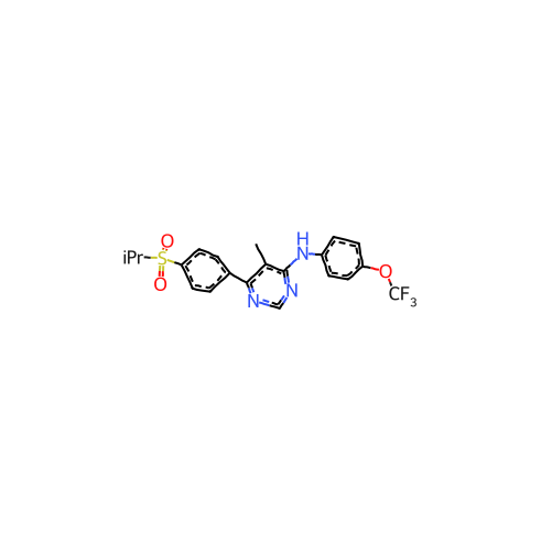 Cc1c(Nc2ccc(OC(F)(F)F)cc2)ncnc1-c1ccc(S(=O)(=O)C(C)C)cc1